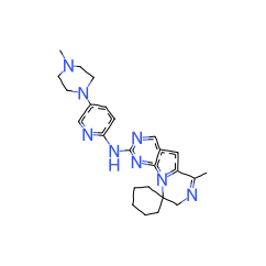 CC1=NCC2(CCCCC2)n2c1cc1cnc(Nc3ccc(N4CCN(C)CC4)cn3)nc12